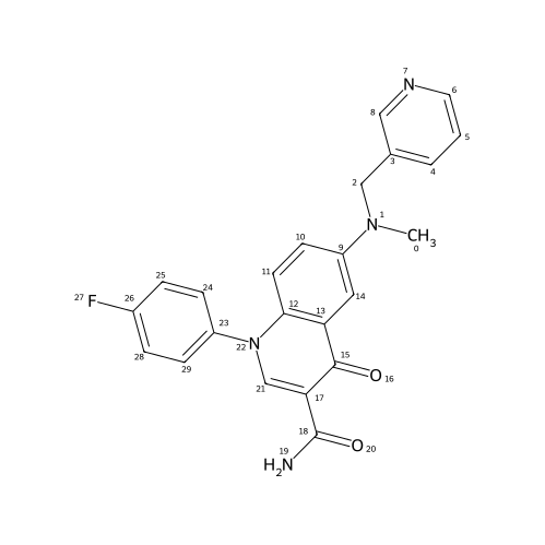 CN(Cc1cccnc1)c1ccc2c(c1)c(=O)c(C(N)=O)cn2-c1ccc(F)cc1